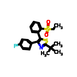 CCS(=O)(=O)c1ccccc1-c1sc(C(C)(C)C)nc1-c1ccc(F)cc1